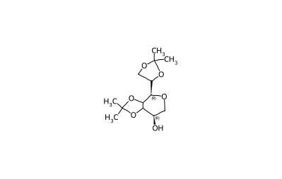 CC1(C)OCC([C@H]2OC[C@@H](O)C3OC(C)(C)OC32)O1